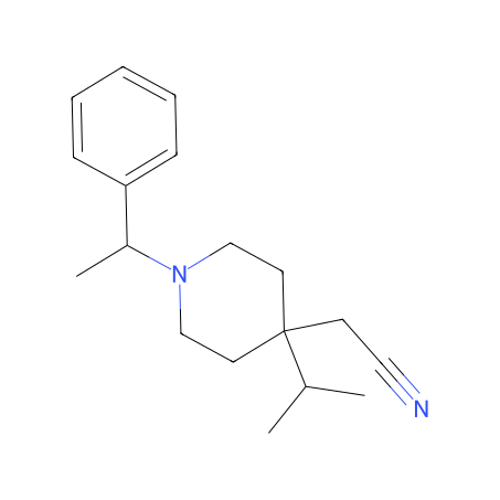 CC(c1ccccc1)N1CCC(CC#N)(C(C)C)CC1